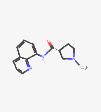 O=C(Nc1cccc2cccnc12)[C@@H]1CCN(C(=O)O)C1